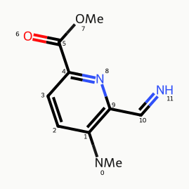 CNc1ccc(C(=O)OC)nc1C=N